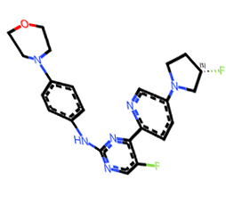 Fc1cnc(Nc2ccc(N3CCOCC3)cc2)nc1-c1ccc(N2CC[C@H](F)C2)cn1